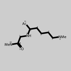 CNCCCCC(NCC(=O)NC)C(C)=O